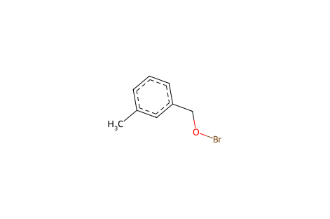 Cc1cccc(COBr)c1